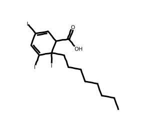 CCCCCCCCC1(I)C(I)=CC(I)=CC1C(=O)O